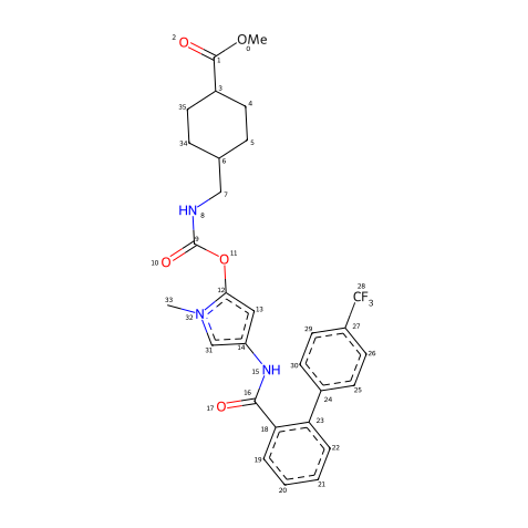 COC(=O)C1CCC(CNC(=O)Oc2cc(NC(=O)c3ccccc3-c3ccc(C(F)(F)F)cc3)cn2C)CC1